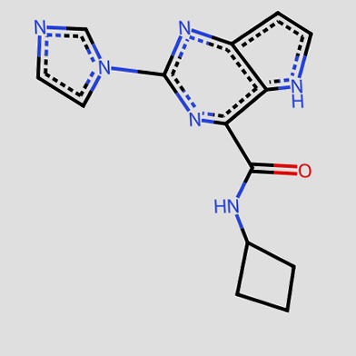 O=C(NC1CCC1)c1nc(-n2ccnc2)nc2cc[nH]c12